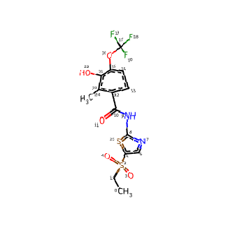 CCS(=O)(=O)c1cnc(NC(=O)c2ccc(OC(F)(F)F)c(O)c2C)s1